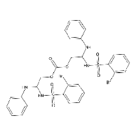 O=C(OCC(Nc1ccccc1)NS(=O)(=O)c1ccccc1Br)OCC(Nc1ccccc1)NS(=O)(=O)c1ccccc1Br